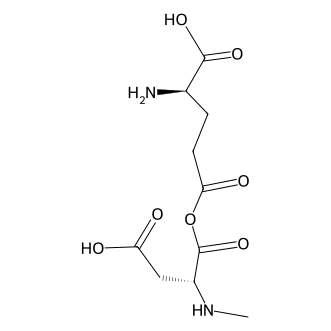 CN[C@H](CC(=O)O)C(=O)OC(=O)CC[C@@H](N)C(=O)O